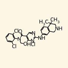 CC1(C)CNCc2cc(Nc3ncc4c(n3)OCN(c3c(Cl)cccc3Cl)C4=O)ccc21.Cl